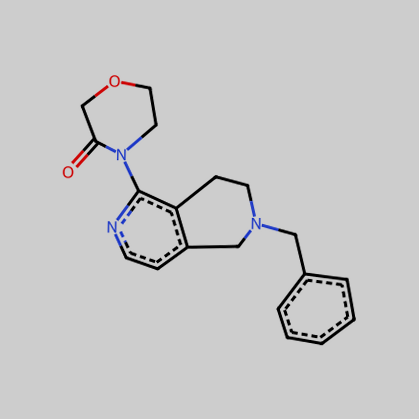 O=C1COCCN1c1nccc2c1CCN(Cc1ccccc1)C2